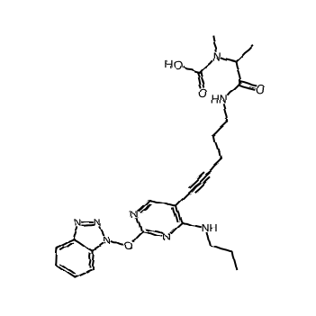 CCCNc1nc(On2nnc3ccccc32)ncc1C#CCCCNC(=O)C(C)N(C)C(=O)O